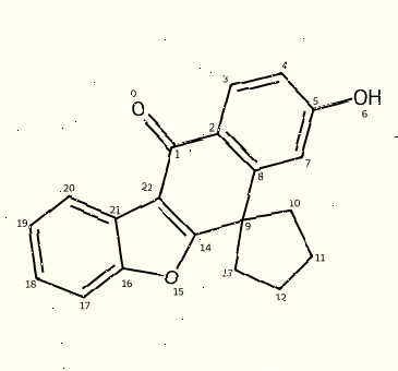 O=C1c2ccc(O)cc2C2(CCCC2)c2oc3ccccc3c21